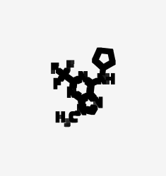 Cn1cnc2c(NC3CCCC3)nc(C(F)(F)F)nc21